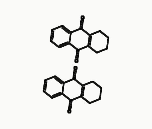 O=C1C2=C(CCCC2)C(=O)c2ccccc21.O=C1C2=C(CCCC2)C(=O)c2ccccc21